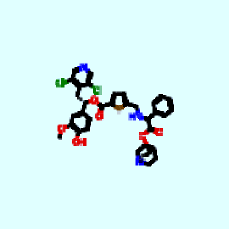 COc1cc([C@H](Cc2c(Cl)cncc2Cl)OC(=O)c2ccc(CNC(C(=O)OC3CN4CCC3CC4)c3ccccc3)s2)ccc1O